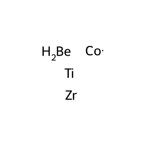 [BeH2].[Co].[Ti].[Zr]